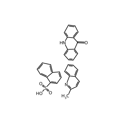 Cc1ccc2ccccc2n1.O=S(=O)(O)c1cccc2ccccc12.O=c1c2ccccc2[nH]c2ccccc12